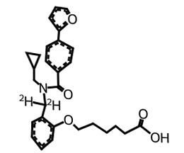 [2H]C([2H])(c1ccccc1OCCCCCC(=O)O)N(CC1CC1)C(=O)c1ccc(-c2ccco2)cc1